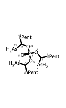 CCCCCC([AsH2])OP(=O)(OC([AsH2])CCCCC)OC([AsH2])CCCCC